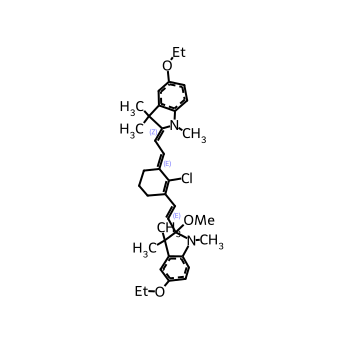 CCOc1ccc2c(c1)C(C)(C)/C(=C/C=C1\CCCC(/C=C/C3(OC)N(C)c4ccc(OCC)cc4C3(C)C)=C1Cl)N2C